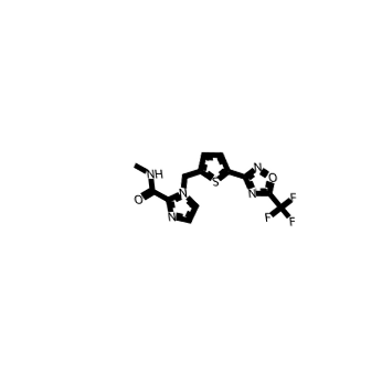 CNC(=O)c1nccn1Cc1ccc(-c2noc(C(F)(F)F)n2)s1